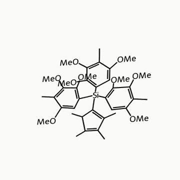 COc1cc([Si](C2=C(C)C(C)=C(C)C2C)(c2cc(OC)c(C)c(OC)c2OC)c2cc(OC)c(C)c(OC)c2OC)c(OC)c(OC)c1C